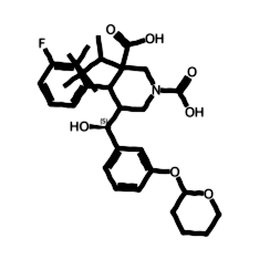 Cc1c(F)cccc1C1C([C@H](O)c2cccc(OC3CCCCO3)c2)CN(C(=O)O)CC1(C(=O)O)C(C)C(C)(C)C